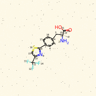 C[C@](N)(Cc1ccc(-c2nc(C(F)(F)F)cs2)cc1)C(=O)O